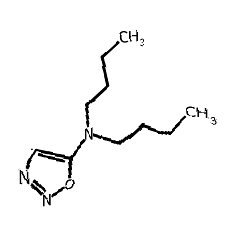 CCCCN(CCCC)c1[c]nno1